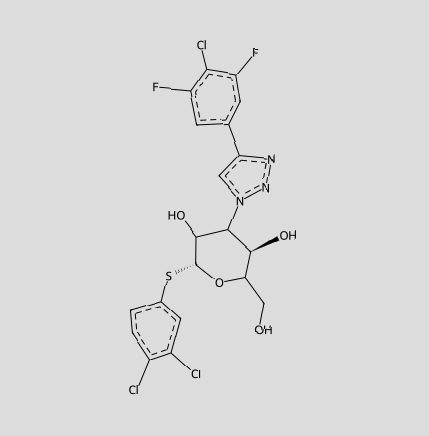 OCC1O[C@H](Sc2ccc(Cl)c(Cl)c2)C(O)C(n2cc(-c3cc(F)c(Cl)c(F)c3)nn2)[C@H]1O